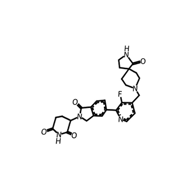 O=C1CCC(N2Cc3cc(-c4nccc(CN5CCC6(CCNC6=O)CC5)c4F)ccc3C2=O)C(=O)N1